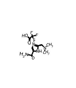 CN(C)Cc1ncc(C(N)=O)[nH]1.O=C(O)C(F)(F)F